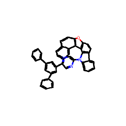 c1ccc(-c2cc(-c3ccccc3)cc(-c3cnc(-n4c5ccccc5c5ccc6oc7ccc8ccccc8c7c6c54)cn3)c2)cc1